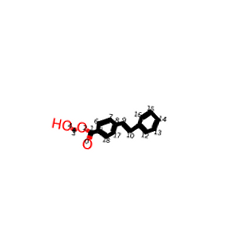 O=C(OCO)c1ccc(C=Cc2ccccc2)cc1